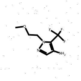 COCCn1ncc(N)c1C(F)(F)F